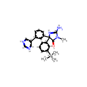 CN1C(=O)C(c2cccc(-c3cncnc3)c2)(c2cccc([Si](C)(C)C)c2)N=C1N